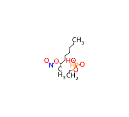 C=CO[PH](=O)O.CCCCCCC(C)ON=O